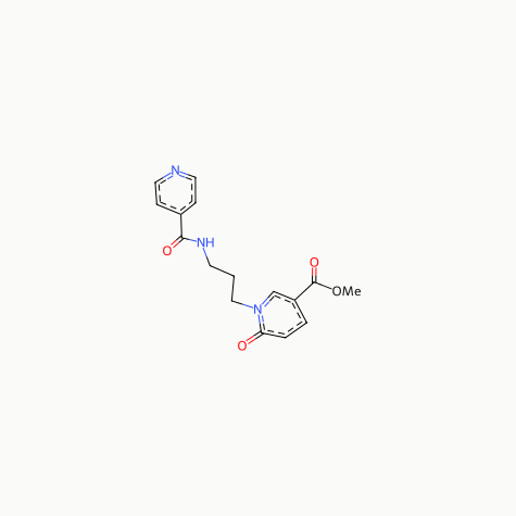 COC(=O)c1ccc(=O)n(CCCNC(=O)c2ccncc2)c1